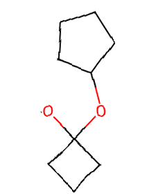 [O]C1(OC2CCCC2)CCC1